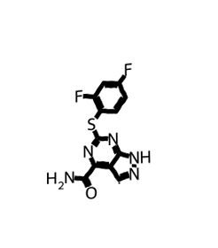 NC(=O)c1nc(Sc2ccc(F)cc2F)nc2[nH]n[c]c12